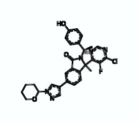 C[C@H](c1ccc(O)cc1)N1C(=O)c2cc(-c3cnn(C4CCCCO4)c3)ccc2C1(C)c1ncnc(Cl)c1F